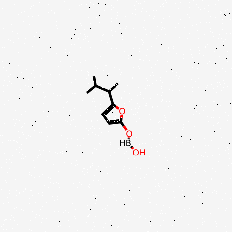 CC(C)C(C)c1ccc(OBO)o1